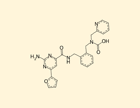 Nc1nc(C(=O)NCc2ccccc2CN(Cc2ccccn2)C(=O)O)cc(-c2ccco2)n1